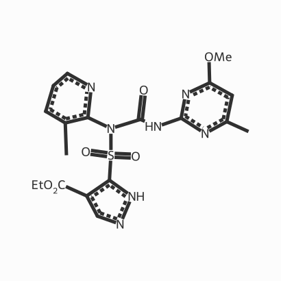 CCOC(=O)c1cn[nH]c1S(=O)(=O)N(C(=O)Nc1nc(C)cc(OC)n1)c1ncccc1C